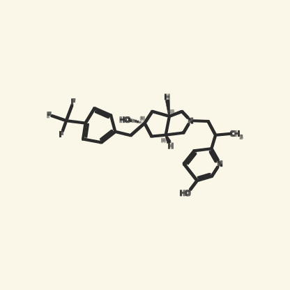 CC(CN1C[C@@H]2C[C@@](O)(Cc3ccc(C(F)(F)F)cc3)C[C@@H]2C1)c1ccc(O)cn1